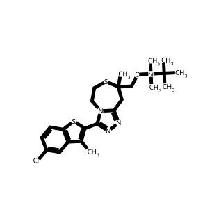 Cc1c(-c2nnc3n2CCSC(C)(CO[Si](C)(C)C(C)(C)C)C3)sc2ccc(Cl)cc12